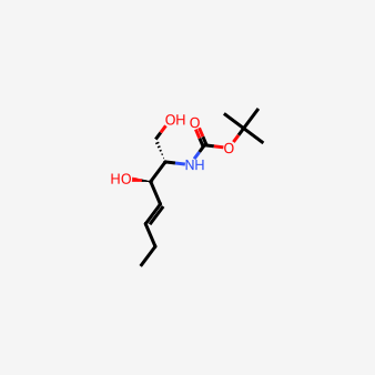 CC/C=C/[C@@H](O)[C@H](CO)NC(=O)OC(C)(C)C